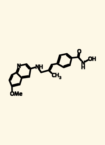 COc1ccc2ncc(NCC(C)=Cc3ccc(C(=O)NO)cc3)cc2c1